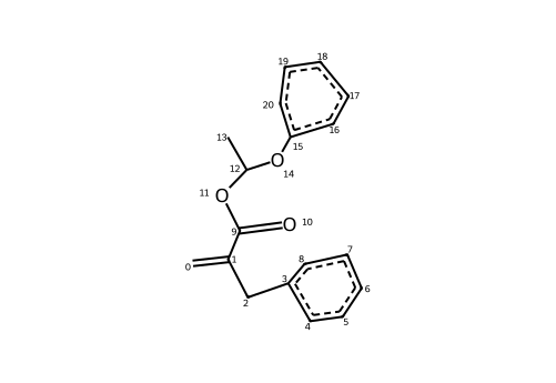 C=C(Cc1ccccc1)C(=O)OC(C)Oc1ccccc1